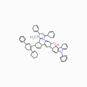 CN1C(C2CC(C3=C(C4=CCCCC4)CCC(c4ccccc4)=C3)C=CC2C2=CC3C(C=C2)O[C@H]2C4=C(C=CC32)N(c2ccccc2)C2=CC=CCC24)=NC(C2C=CC=CC2)=NC1C1=CCCC=C1